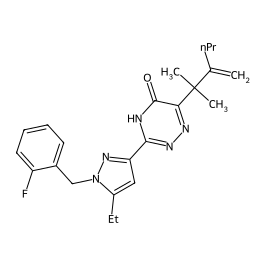 C=C(CCC)C(C)(C)c1nnc(-c2cc(CC)n(Cc3ccccc3F)n2)[nH]c1=O